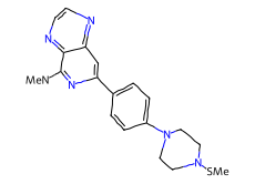 CNc1nc(-c2ccc(N3CCN(SC)CC3)cc2)cc2nccnc12